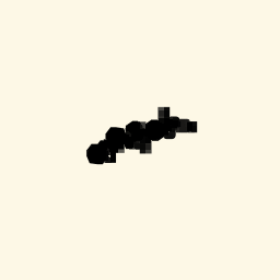 CC(C)(C)OC(=O)N[C@H]1CC[C@H](Nc2nccn3c(-c4cccc(NCc5ccccc5Cl)n4)cnc23)CC1